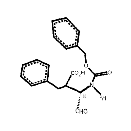 [2H]N(C(=O)OCc1ccccc1)[C@H]([C]=O)C(Cc1ccccc1)C(=O)O